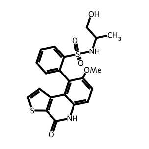 COc1ccc2[nH]c(=O)c3sccc3c2c1-c1ccccc1S(=O)(=O)NC(C)CO